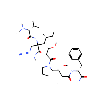 CC[C@H](C)[C@H](C(CC(=O)N1CCC[C@H]1[C@H](OC)[C@@H](C)C(=O)N[C@@H](Cc1ccccc1)C(N)=O)OC)C(NC(=O)[C@H](C(C)C)N(C)C)(C(=O)NC)[C@@H](C)N=[N+]=[N-]